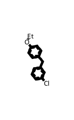 CCOc1ccc(Cc2cccc(Cl)c2)cc1